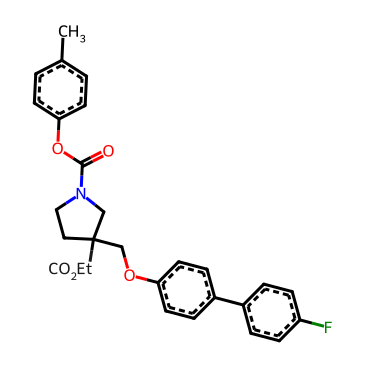 CCOC(=O)C1(COc2ccc(-c3ccc(F)cc3)cc2)CCN(C(=O)Oc2ccc(C)cc2)C1